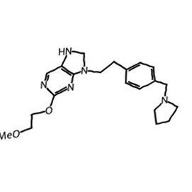 COCCOc1ncc2c(n1)N(CCc1ccc(CN3CCCC3)cc1)CN2